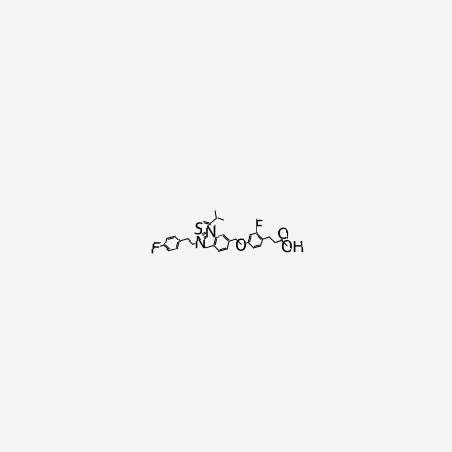 CC(C)c1csc(N(CCc2ccc(F)cc2)Cc2ccc(COc3ccc(CCC(=O)O)c(F)c3)cc2)n1